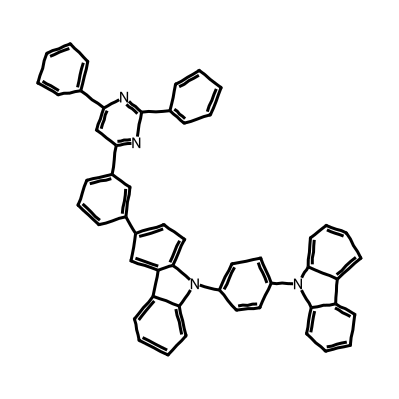 c1ccc(-c2cc(-c3cccc(-c4ccc5c(c4)c4ccccc4n5-c4ccc(-n5c6ccccc6c6ccccc65)cc4)c3)nc(-c3ccccc3)n2)cc1